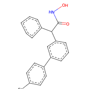 CCc1ccc(-c2cccc(C(C(=O)NO)c3ccccc3)c2)cc1